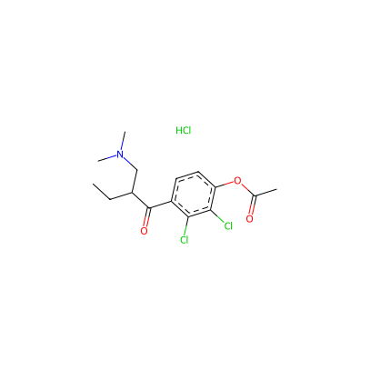 CCC(CN(C)C)C(=O)c1ccc(OC(C)=O)c(Cl)c1Cl.Cl